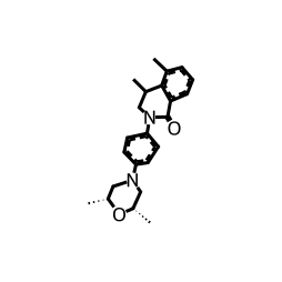 Cc1cccc2c1C(C)CN(c1ccc(N3C[C@@H](C)O[C@@H](C)C3)cc1)C2=O